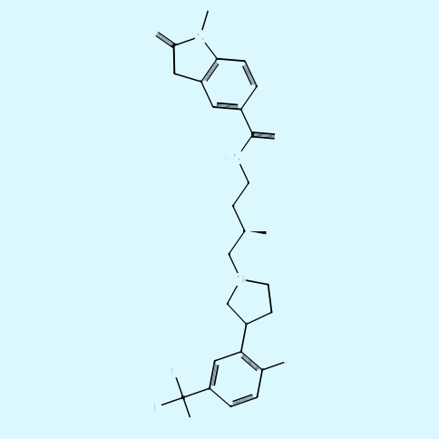 CN1C(=O)Cc2cc(C(=O)NCC[C@@H](O)CN3CCC(c4cc(C(F)(F)F)ccc4F)C3)ccc21